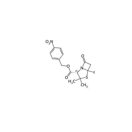 CC1(C)SC2(I)CC(=O)N2[C@H]1C(=O)OCc1ccc([N+](=O)[O-])cc1